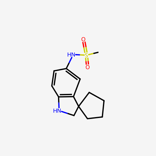 CS(=O)(=O)Nc1ccc2c(c1)C1(CCCC1)CN2